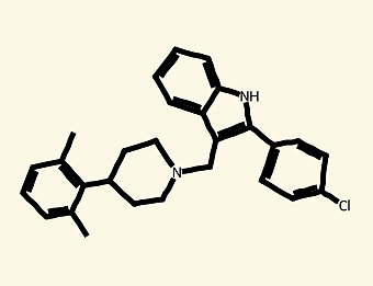 Cc1cccc(C)c1C1CCN(Cc2c(-c3ccc(Cl)cc3)[nH]c3ccccc23)CC1